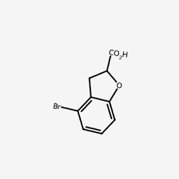 O=C(O)C1Cc2c(Br)cccc2O1